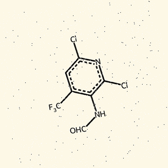 O=CNc1c(C(F)(F)F)cc(Cl)nc1Cl